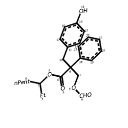 CCCCCC(CC)OC(=O)C(COC=O)(Cc1ccc(O)cc1)c1ccccc1